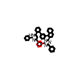 C1=C(c2ccccc2-c2cccc(-c3c(-c4nc(-c5ccccc5)nc(-c5ccccc5)n4)ccc4ccccc34)c2)NC(c2ccccc2)N=C1c1ccccc1